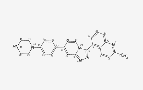 Cc1ccc2c(-c3cnc4cc(-c5ccc(N6CCNCC6)cc5)ccn34)cccc2n1